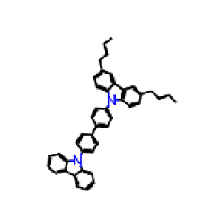 CCCCc1ccc2c(c1)c1cc(CCCC)ccc1n2-c1ccc(-c2ccc(-n3c4ccccc4c4ccccc43)cc2)cc1